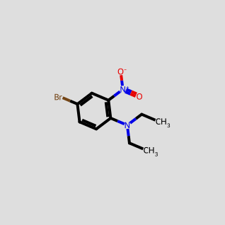 CCN(CC)c1ccc(Br)cc1[N+](=O)[O-]